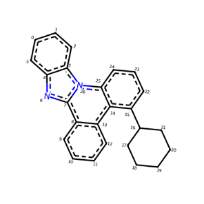 c1ccc2c(c1)nc1c3ccccc3c3c(C4CCCCC4)cccc3n21